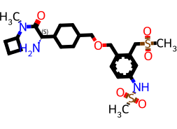 CN(C(=O)[C@@H](N)C1CCC(COCc2ccc(NS(C)(=O)=O)cc2CS(C)(=O)=O)CC1)C1CCC1